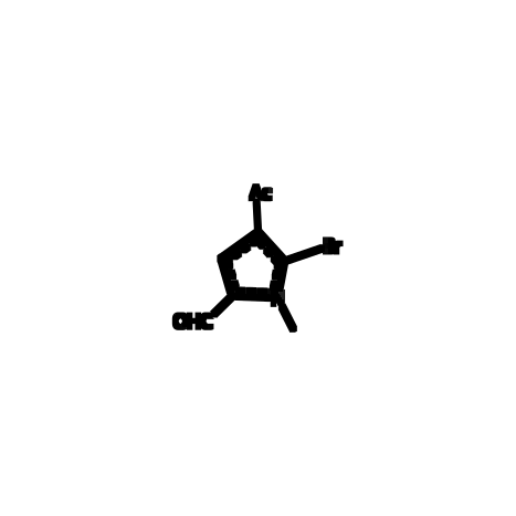 CC(=O)c1cc(C=O)n(C)c1Br